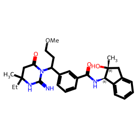 CCC1(C)CC(=O)N(C(CCOC)c2cccc(C(=O)N[C@@H]3c4ccccc4C[C@@]3(C)O)c2)C(=N)N1